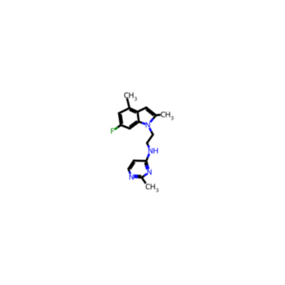 Cc1nccc(NCCn2c(C)cc3c(C)cc(F)cc32)n1